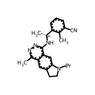 Cc1c(C#N)cccc1[C@@H](C)Nc1nnc(C)c2cc3c(cc12)N(C(C)C)CC3